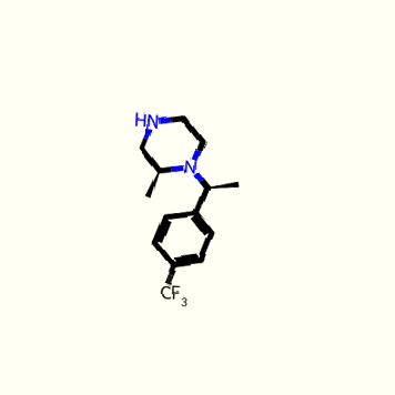 C[C@H]1CNCCN1[C@@H](C)c1ccc(C(F)(F)F)cc1